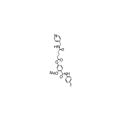 COc1cc(OC(=O)CCCC(=O)NCc2ccncc2)ccc1C(=O)Nc1ccc(I)cc1